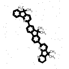 CC1(C)C2=C(N=CCC2)c2nc(-c3ccc4c(c3)C(C)(C)c3cc(-c5ccc6c(n5)-c5ccccc5C6(C)C)ccc3-4)ccc21